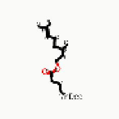 CCCCCCCCCCCCCC(=O)OCCC(C)CCC=C(C)C